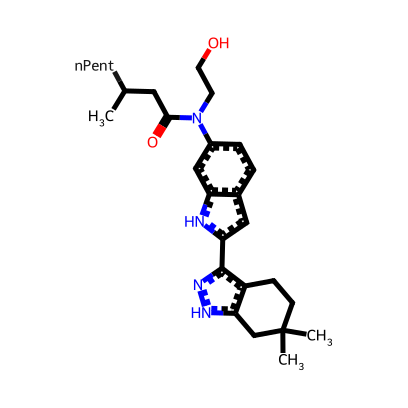 CCCCCC(C)CC(=O)N(CCO)c1ccc2cc(-c3n[nH]c4c3CCC(C)(C)C4)[nH]c2c1